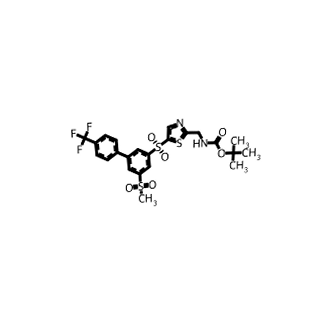 CC(C)(C)OC(=O)NCc1ncc(S(=O)(=O)c2cc(-c3ccc(C(F)(F)F)cc3)cc(S(C)(=O)=O)c2)s1